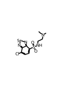 CN(C)CCNS(=O)(=O)c1ccc(Cl)c2n[se]nc12